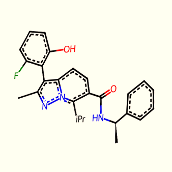 Cc1nn2c(C(C)C)c(C(=O)N[C@H](C)c3ccccc3)ccc2c1-c1c(O)cccc1F